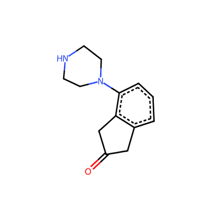 O=C1Cc2cccc(N3CCNCC3)c2C1